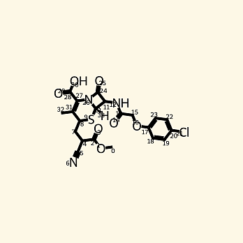 COC(=O)C(C#N)CC1S[C@H]2C(NC(=O)COc3ccc(Cl)cc3)C(=O)N2C(C(=O)O)=C1C